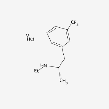 CCN[C@@H](C)Cc1cccc(C(F)(F)F)c1.Cl.[V]